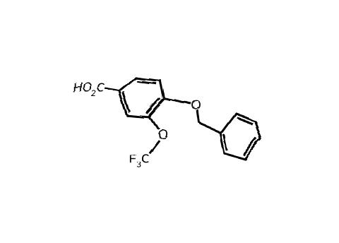 O=C(O)c1ccc(OCc2ccccc2)c(OC(F)(F)F)c1